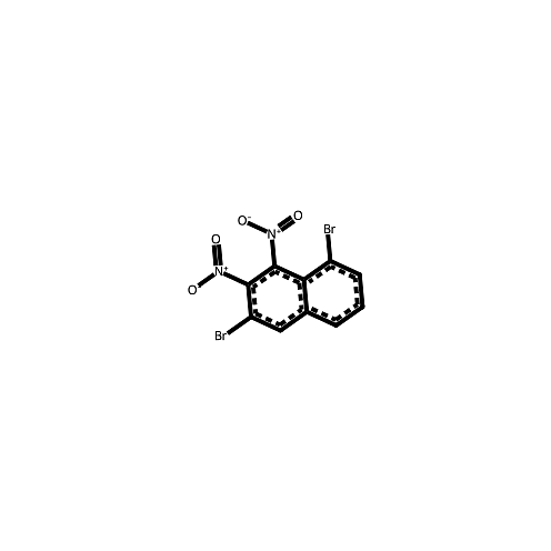 O=[N+]([O-])c1c(Br)cc2cccc(Br)c2c1[N+](=O)[O-]